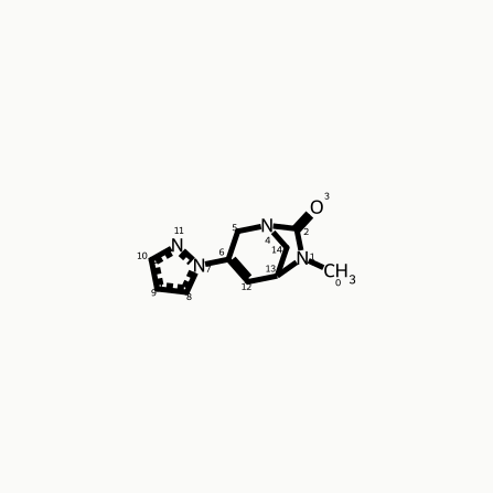 CN1C(=O)N2CC(n3cccn3)=CC1C2